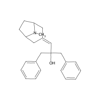 CN1C2CCC1CC(=CC(O)(Cc1ccccc1)Cc1ccccc1)C2